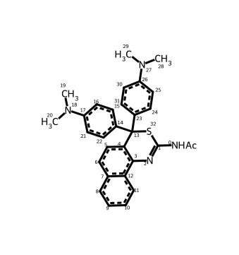 CC(=O)NC1=Nc2c(ccc3ccccc23)C(c2ccc(N(C)C)cc2)(c2ccc(N(C)C)cc2)S1